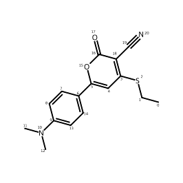 CCSc1cc(-c2ccc(N(C)C)cc2)oc(=O)c1C#N